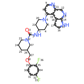 O=C(NC1CCN(c2ccnc3cnc4[nH]ccc4c23)CC1)N1CCCC(COc2ccc(F)cc2F)C1